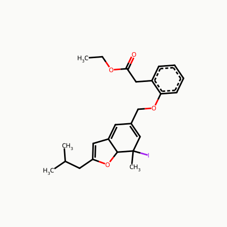 CCOC(=O)Cc1ccccc1OCC1=CC(C)(I)C2OC(CC(C)C)=CC2=C1